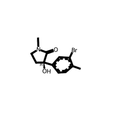 Cc1ccc([C@]2(O)CCN(C)C2=O)cc1Br